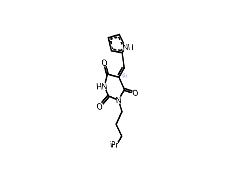 CC(C)CCCN1C(=O)NC(=O)/C(=C\c2ccc[nH]2)C1=O